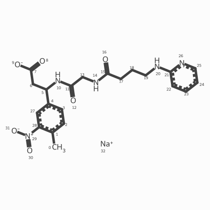 Cc1ccc(C(CC(=O)[O-])NC(=O)CNC(=O)CCCNc2ccccn2)cc1[N+](=O)[O-].[Na+]